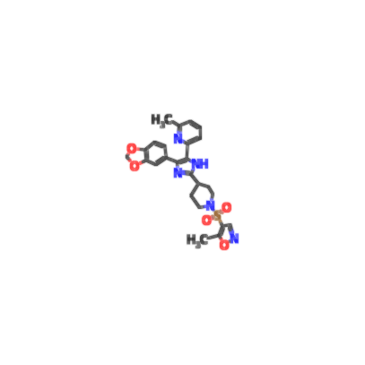 Cc1cccc(-c2[nH]c(C3CCN(S(=O)(=O)c4cnoc4C)CC3)nc2-c2ccc3c(c2)OCO3)n1